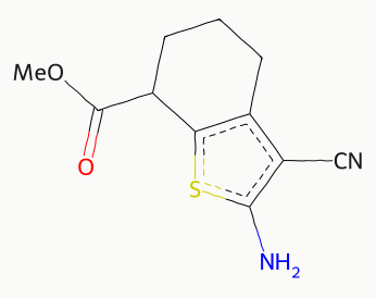 COC(=O)C1CCCc2c1sc(N)c2C#N